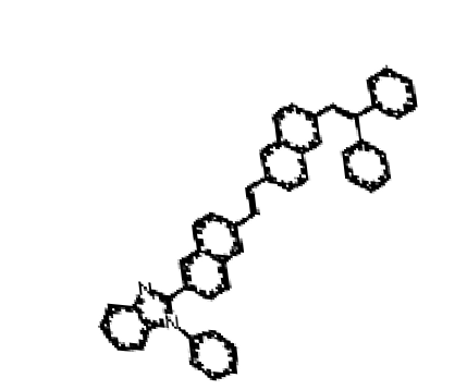 C(=C(c1ccccc1)c1ccccc1)c1ccc2cc(/C=C/c3ccc4cc(-c5nc6ccccc6n5-c5ccccc5)ccc4c3)ccc2c1